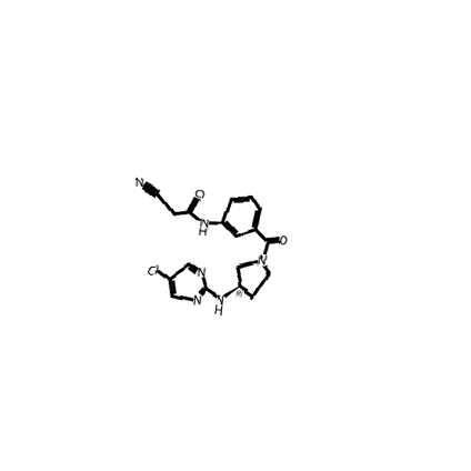 N#CCC(=O)Nc1cccc(C(=O)N2CC[C@@H](Nc3ncc(Cl)cn3)C2)c1